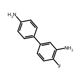 Nc1ccc(-c2ccc(F)c(N)c2)cc1